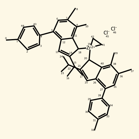 Cc1ccc(-c2cc(C)c(C)c3c2C=C(C(C)C)[CH]3[Zr+2]2([CH]3C(C(C)C)=Cc4c(-c5ccc(C)cc5)cc(C)c(C)c43)[CH2][CH2]2)cc1.[Cl-].[Cl-]